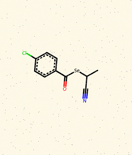 CC(C#N)[Se]C(=O)c1ccc(Cl)cc1